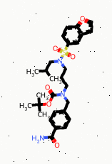 CC(C)CN(CCCN(Cc1ccc(C(N)=O)cc1)C(=O)OC(C)(C)C)S(=O)(=O)c1ccc2occc2c1